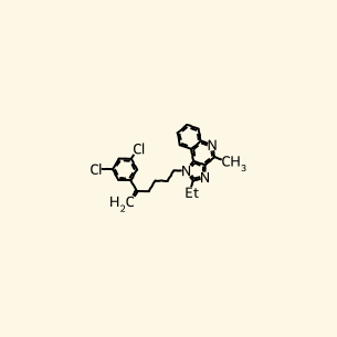 C=C(CCCCn1c(CC)nc2c(C)nc3ccccc3c21)c1cc(Cl)cc(Cl)c1